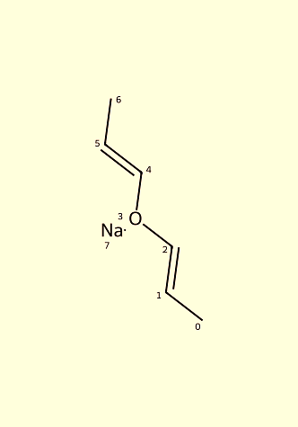 CC=COC=CC.[Na]